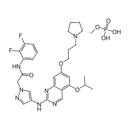 CC(C)Oc1cc(OCCCN2CCC[C@@H]2COP(=O)(O)O)cc2nc(Nc3cnn(CC(=O)Nc4cccc(F)c4F)c3)ncc12